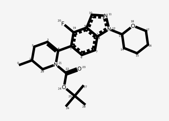 CC1CC=C(c2ccc3c(cnn3C3CCCCO3)c2F)N(C(=O)OC(C)(C)C)C1